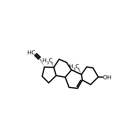 C#C[C@H]1CCC2C3CC=C4CC(O)CC[C@]4(C)C3CC[C@@]21C